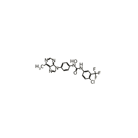 Cc1ncnc2c1ncn2-c1ccc(N(O)C(=O)Nc2ccc(Cl)c(C(F)(F)F)c2)cc1